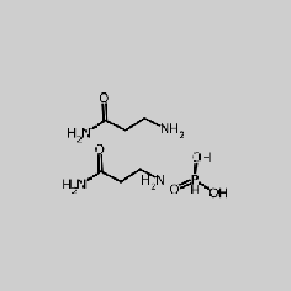 NCCC(N)=O.NCCC(N)=O.O=[PH](O)O